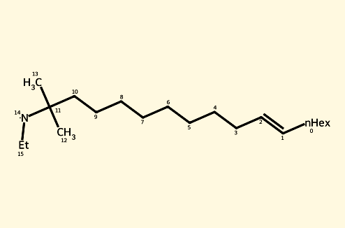 CCCCCC/C=C/CCCCCCCCC(C)(C)[N]CC